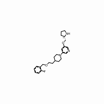 Fc1ccccc1COCCC1CCN(c2cncc(OC[C@@H]3CCCN3)c2)CC1